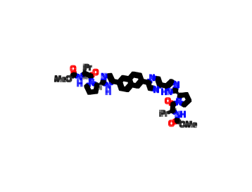 COC(=O)N[C@H](C(=O)N1CCC[C@H]1c1ncc(-c2ccc3cc(-c4cnc(-c5cnc([C@@H]6CCCN6C(=O)[C@@H](NC(=O)OC)C(C)C)[nH]5)cn4)ccc3c2)[nH]1)C(C)C